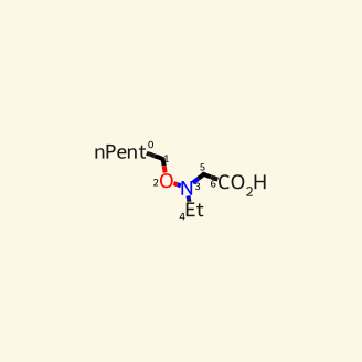 CCCCCCON(CC)CC(=O)O